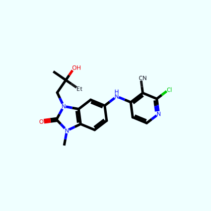 CCC(C)(O)Cn1c(=O)n(C)c2ccc(Nc3ccnc(Cl)c3C#N)cc21